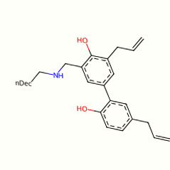 C=CCc1ccc(O)c(-c2cc(CC=C)c(O)c(CNCCCCCCCCCCC)c2)c1